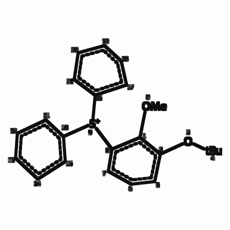 COc1c(OC(C)(C)C)cccc1[S+](c1ccccc1)c1ccccc1